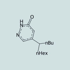 CCCCCCC(CCCC)c1cn[nH]c(=O)c1